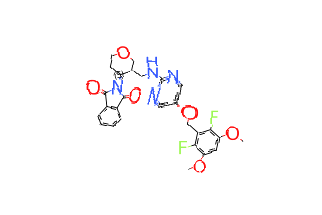 COc1cc(OC)c(F)c(COc2cnc(NCC3COCC[C@@H]3N3C(=O)c4ccccc4C3=O)nc2)c1F